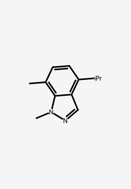 Cc1ccc(C(C)C)c2cnn(C)c12